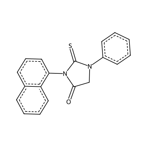 O=C1CN(c2ccccc2)C(=S)N1c1cccc2ccccc12